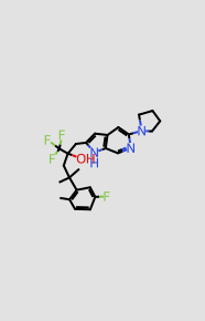 Cc1ccc(F)cc1C(C)(C)CC(O)(Cc1cc2cc(N3CCCC3)ncc2[nH]1)C(F)(F)F